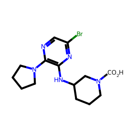 O=C(O)N1CCCC(Nc2nc(Br)cnc2N2CCCC2)C1